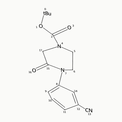 CC(C)(C)OC(=O)N1CCN(c2cccc(C#N)c2)C(=O)C1